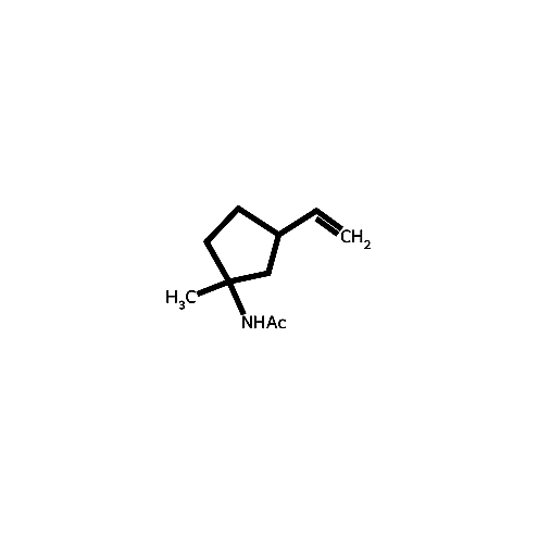 C=CC1CCC(C)(NC(C)=O)C1